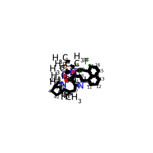 CCSc1nc2c3c(nc(-c4cccc5ccc(F)c(C#C[Si](C(C)C)(C(C)C)C(C)C)c45)c(F)c3n1)C[C@H](C)[C@H]1[C@@H]3CC[C@@H](C3)CN21